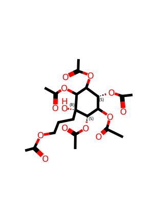 CC(=O)OCCC[C@@]1(O)C(OC(C)=O)C(OC(C)=O)[C@H](OC(C)=O)C(OC(C)=O)[C@@H]1OC(C)=O